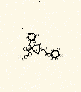 COC(=O)C1(Cc2ccccc2)CCN(CCc2ccccc2)CC1